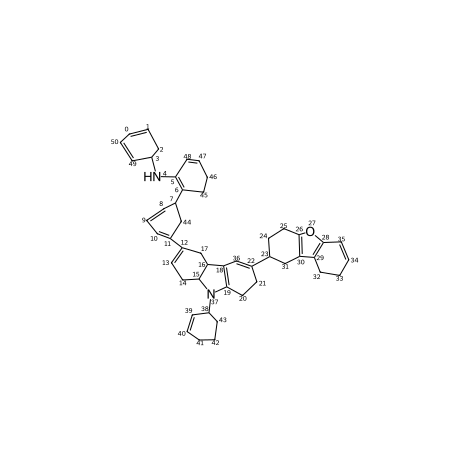 C1=CCC(NC2=C(C3C=CC=C(C4=CCC5C(C4)C4=C(CCC(C6CCc7oc8c(c7C6)CCC=C8)=C4)N5C4C=CCCC4)C3)CCC=C2)C=C1